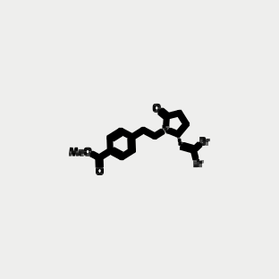 COC(=O)c1ccc(CCN2C(=O)CC[C@@H]2C=C(Br)Br)cc1